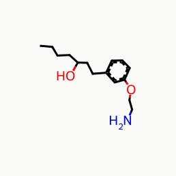 CCCCC(O)CCc1cccc(OCCN)c1